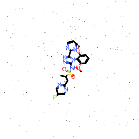 COc1cccc(OC)c1-n1c(NS(=O)(=O)C(C)Cc2ncc(F)cn2)nnc1-c1ncccn1